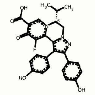 CC(C)[C@@H]1Cn2nc(-c3ccc(O)cc3)c(-c3ccc(O)cc3)c2-c2c(F)c(=O)c(C(=O)O)cn21